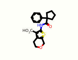 O=C(O)c1c(NC(=O)C2(c3ccccc3)CCCC2)sc2c1CCOC2